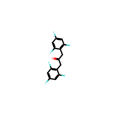 O=C(Cc1c(F)cc(F)cc1F)Cc1c(F)cc(F)cc1F